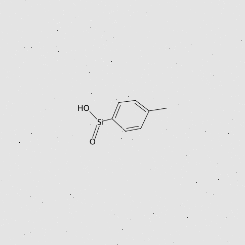 Cc1ccc([Si](=O)O)cc1